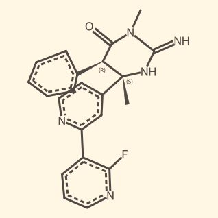 CN1C(=N)N[C@](C)(c2ccnc(-c3cccnc3F)c2)[C@@H](c2ccccc2)C1=O